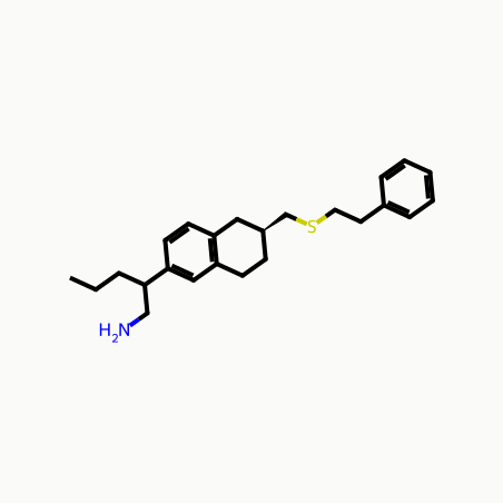 CCCC(CN)c1ccc2c(c1)CC[C@H](CSCCc1ccccc1)C2